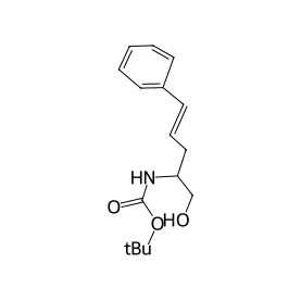 CC(C)(C)OC(=O)NC(CO)CC=Cc1ccccc1